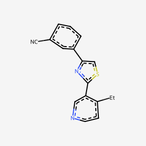 CCc1ccncc1-c1nc(-c2cccc(C#N)c2)cs1